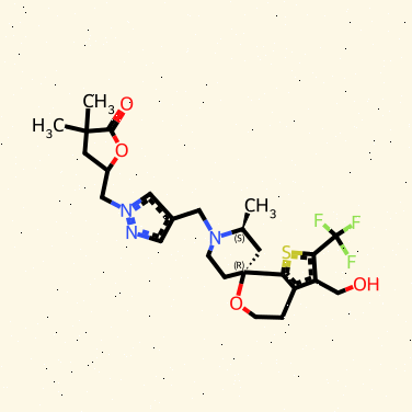 C[C@H]1C[C@@]2(CCN1Cc1cnn(CC3CC(C)(C)C(=O)O3)c1)OCCc1c2sc(C(F)(F)F)c1CO